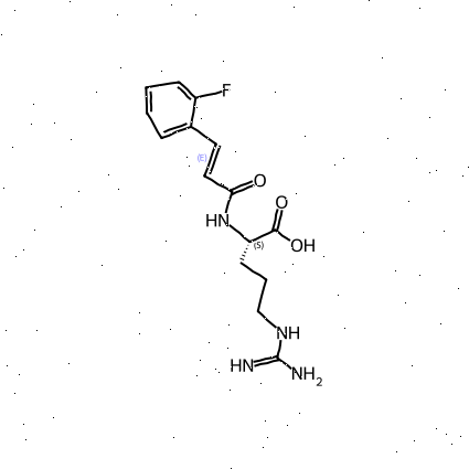 N=C(N)NCCC[C@H](NC(=O)/C=C/c1ccccc1F)C(=O)O